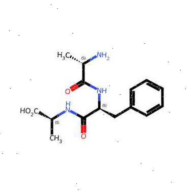 C[C@H](N)C(=O)N[C@@H](Cc1ccccc1)C(=O)N[C@@H](C)C(=O)O